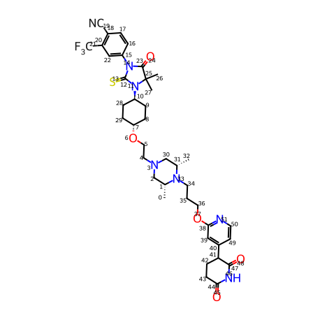 C[C@@H]1CN(CCO[C@H]2CC[C@H](N3C(=S)N(c4ccc(C#N)c(C(F)(F)F)c4)C(=O)C3(C)C)CC2)C[C@H](C)N1CCCOc1cc(C2CCC(=O)NC2=O)ccn1